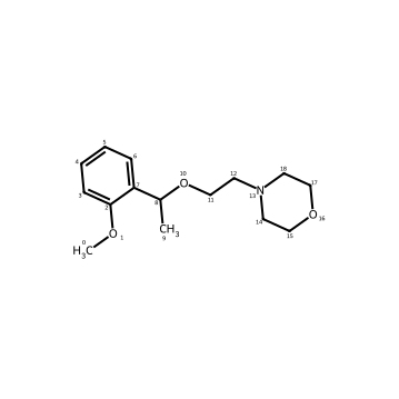 COc1ccccc1C(C)OCCN1CCOCC1